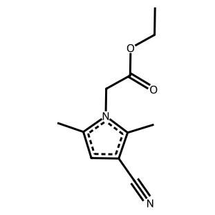 CCOC(=O)Cn1c(C)cc(C#N)c1C